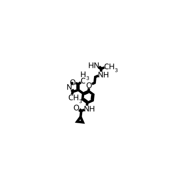 CC(=N)NCCOc1ccc(NC(=O)C2CC2)cc1-c1c(C)noc1C